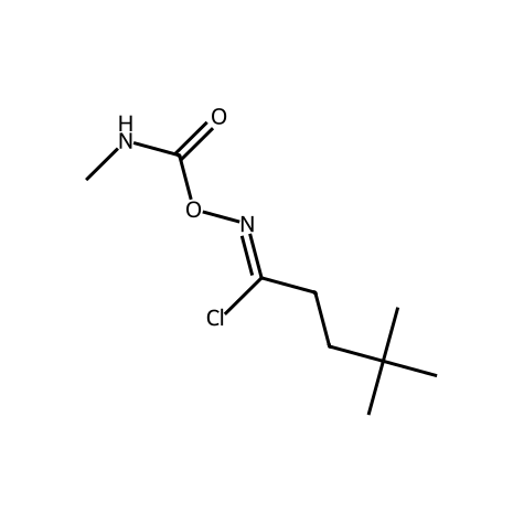 CNC(=O)ON=C(Cl)CCC(C)(C)C